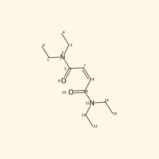 CCN(CC)C(=O)/C=C\C(=O)N(CC)CC